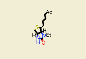 CCN1C(=O)N[C@H]2CS[C@@H](CCCCC(C)=O)[C@H]21